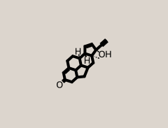 C#C[C@]1(O)C=C[C@H]2[C@@H]3CCC4=CC(=O)CC5CC(C[C@@]21C)C3C45